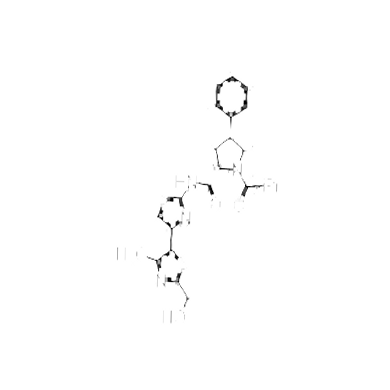 Cc1nc(CO)sc1-c1csc(NC(=O)[C@@H]2C[C@@H](c3ccccc3)CN2C(=O)C(C)C)n1